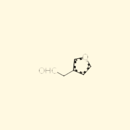 O=CCc1ccoc1